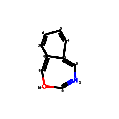 C1=NC=c2ccccc2=CO1